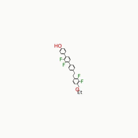 CCOCc1ccc(CCc2ccc(-c3ccc(-c4ccc(O)cc4)c(F)c3F)cc2)c(F)c1F